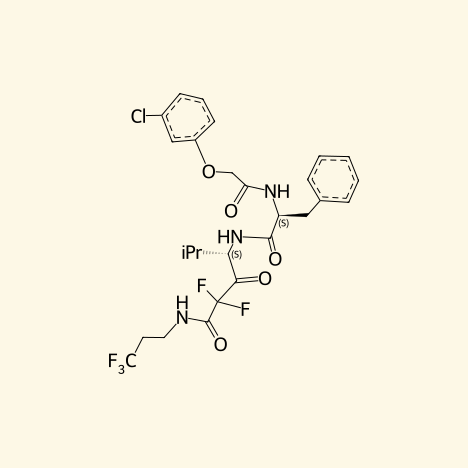 CC(C)[C@H](NC(=O)[C@H](Cc1ccccc1)NC(=O)COc1cccc(Cl)c1)C(=O)C(F)(F)C(=O)NCCC(F)(F)F